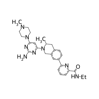 CCNC(=O)c1cccc(-c2ccc3c(c2)CN(c2cc(N4CCN(C)CC4)nc(N)n2)C(C)C3)n1